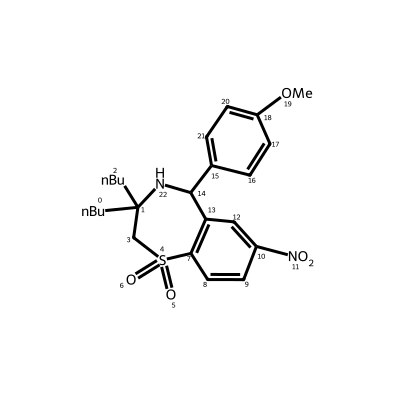 CCCCC1(CCCC)CS(=O)(=O)c2ccc([N+](=O)[O-])cc2C(c2ccc(OC)cc2)N1